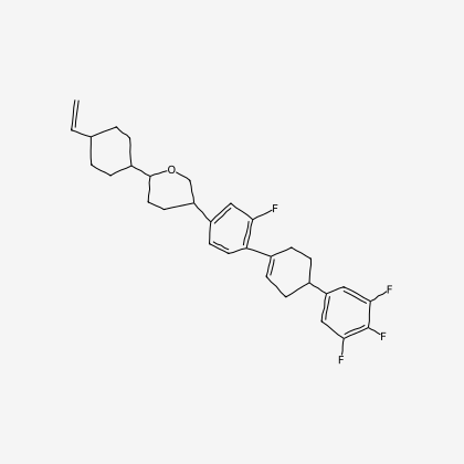 C=CC1CCC(C2CCC(c3ccc(C4=CCC(c5cc(F)c(F)c(F)c5)CC4)c(F)c3)CO2)CC1